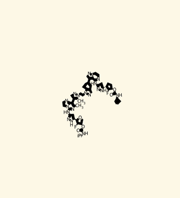 Cc1nc(Nc2cc([C@H]3OC[C@@H](OC(=O)NC(C)C)[C@H]3F)[nH]n2)n2ccnc2c1-c1cnn(CCn2ncc3cc(-c4cnn5ccnc(Nc6cc([C@@H]7CC[C@H](OC(=O)NC89CC(C8)C9)[C@H]7F)[nH]n6)c45)ccc32)c1C